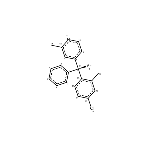 CC(=O)[C@@](c1ccccc1)(c1ccnc(C)c1)c1ccc(Cl)cc1C